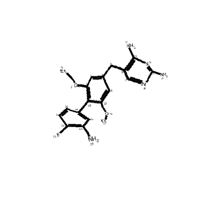 CCOc1cc(Cc2cnc(N)nc2N)cc(OCC)c1-c1ccc(F)c(N)c1